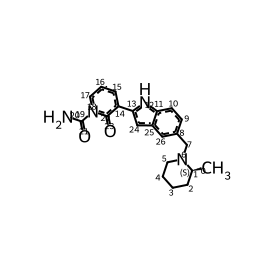 C[C@H]1CCCCN1Cc1ccc2[nH]c(-c3c[c]cn(C(N)=O)c3=O)cc2c1